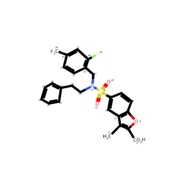 Cc1c(C(=O)O)oc2ccc(S(=O)(=O)N(CCc3ccccc3)Cc3ccc(C(F)(F)F)cc3F)cc12